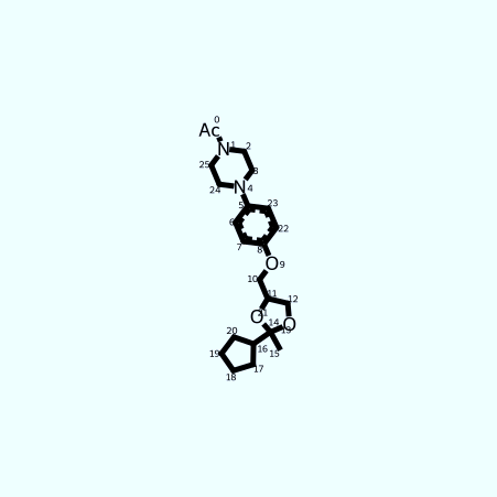 CC(=O)N1CCN(c2ccc(OCC3COC(C)(C4CCCC4)O3)cc2)CC1